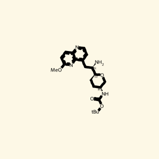 COc1ccc2nccc(C[C@H](N)[C@@H]3CC[C@@H](NC(=O)OC(C)(C)C)CO3)c2n1